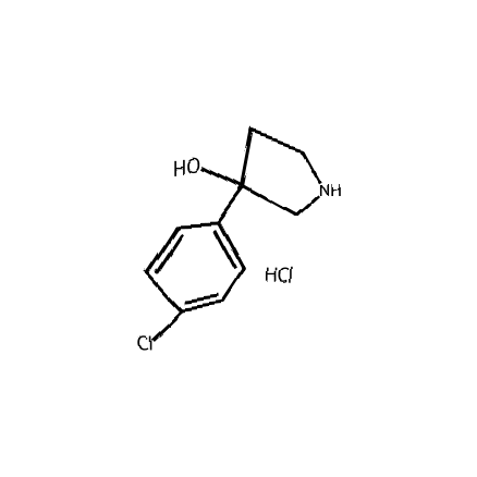 Cl.OC1(c2ccc(Cl)cc2)CCNC1